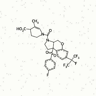 CC1=CN(C(=O)N2CCC3(S(=O)(=O)c4ccc(F)cc4)c4ccc(C(F)(C(F)(F)F)C(F)(F)F)cc4OCC23)CCC1C(=O)O